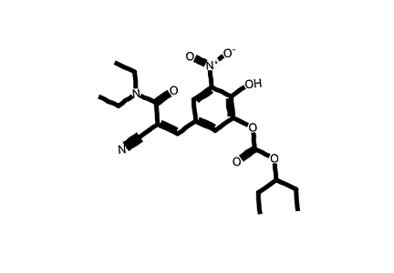 CCC(CC)OC(=O)Oc1cc(/C=C(/C#N)C(=O)N(CC)CC)cc([N+](=O)[O-])c1O